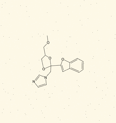 COCC1COC(Cn2ccnc2)(c2cc3ccccc3o2)O1